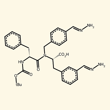 CC(C)(C)OC(=O)N[C@H](Cc1ccccc1)C(=O)N(Cc1ccc(C=NN)cc1)[C@@H](Cc1cccc(C=NN)c1)C(=O)O